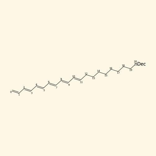 C=CC=CC=CC=CC=CC=CCCCCCCCCCCCCCCCCCC